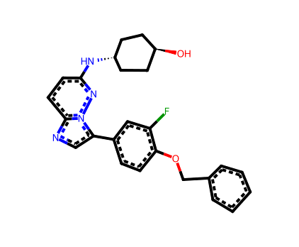 O[C@H]1CC[C@H](Nc2ccc3ncc(-c4ccc(OCc5ccccc5)c(F)c4)n3n2)CC1